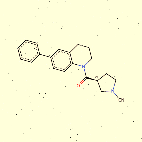 N#CN1CC[C@H](C(=O)N2CCCc3cc(-c4ccccc4)ccc32)C1